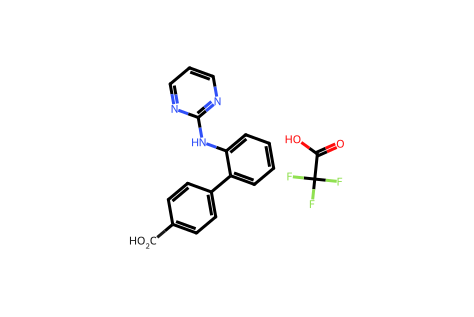 O=C(O)C(F)(F)F.O=C(O)c1ccc(-c2ccccc2Nc2ncccn2)cc1